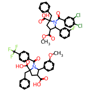 COC(=O)C1CC(Cc2ccccc2)(C(=O)O)N(C(=O)c2ccc(Cl)c(Cl)c2)C1c1cccc(F)c1.COc1cccc(C2C(C(=O)O)CC(Cc3ccccc3)(C(=O)O)N2C(=O)c2ccc(C(F)(F)F)cc2)c1